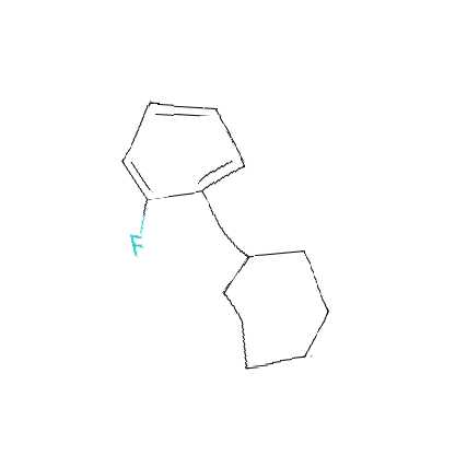 Fc1ccccc1C1CC[CH]CC1